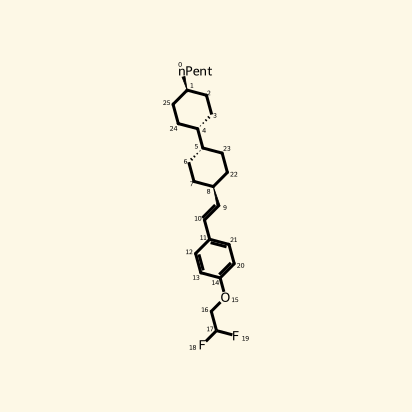 CCCCC[C@H]1CC[C@H]([C@H]2CC[C@H](C=Cc3ccc(OCC(F)F)cc3)CC2)CC1